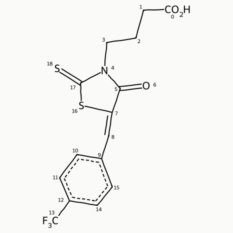 O=C(O)CCCN1C(=O)/C(=C/c2ccc(C(F)(F)F)cc2)SC1=S